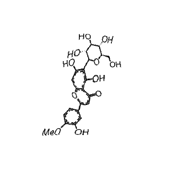 COc1ccc(-c2cc(=O)c3c(O)c(C4O[C@H](CO)[C@@H](O)[C@H](O)[C@H]4O)c(O)cc3o2)cc1O